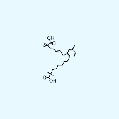 Cc1ccc(CCCCCCC(C)(C)C(=O)O)c(CCCCCC2(C(=O)O)CC2)c1